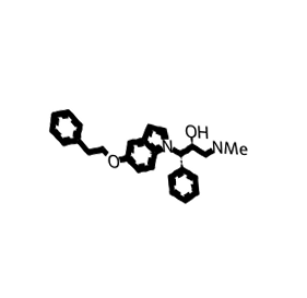 CNC[C@@H](O)[C@H](c1ccccc1)n1ccc2cc(OCCc3ccccc3)ccc21